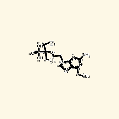 CCCCSc1nc(N)nc2c1ncn2CCOC(CC(F)(F)F)(CC(F)(F)F)P(=O)(O)O